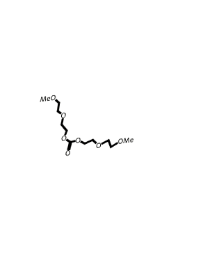 COCCOCCOC(=O)OCCOCCOC